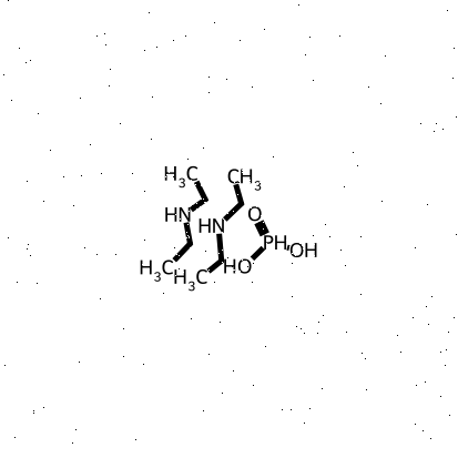 CCNCC.CCNCC.O=[PH](O)O